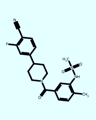 Cc1ccc(C(=O)N2CCC(c3ccc(C#N)c(F)c3)CC2)cc1NS(C)(=O)=O